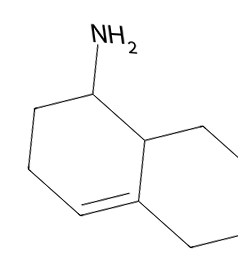 NC1CCC=C2CCCCC21